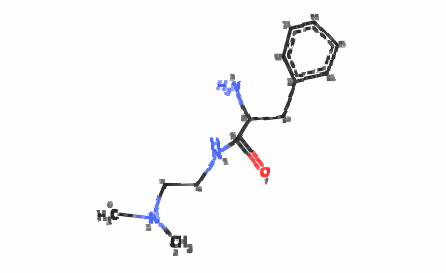 CN(C)CCNC(=O)C(N)Cc1ccccc1